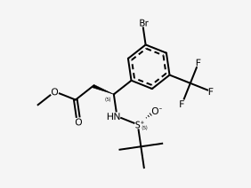 COC(=O)C[C@H](N[S@+]([O-])C(C)(C)C)c1cc(Br)cc(C(F)(F)F)c1